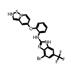 FC(F)(F)c1cc(Br)c2nc(Nc3ccccc3OC3=CC4=CNSN4C=C3)[nH]c2c1